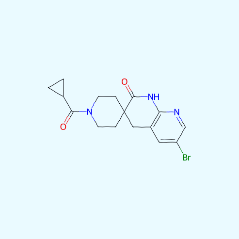 O=C(C1CC1)N1CCC2(CC1)Cc1cc(Br)cnc1NC2=O